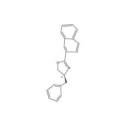 c1ccc(C[C@H]2COC(c3ccc4ccccc4c3)=N2)cc1